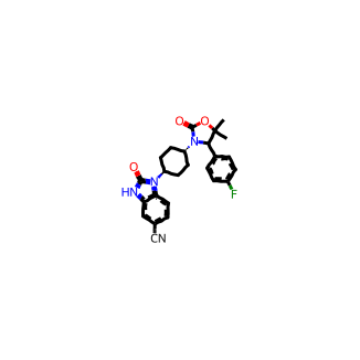 CC1(C)OC(=O)N([C@H]2CC[C@H](n3c(=O)[nH]c4cc(C#N)ccc43)CC2)C1c1ccc(F)cc1